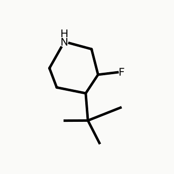 CC(C)(C)C1CCNCC1F